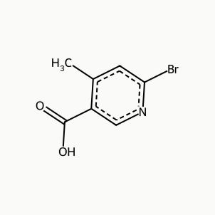 Cc1cc(Br)ncc1C(=O)O